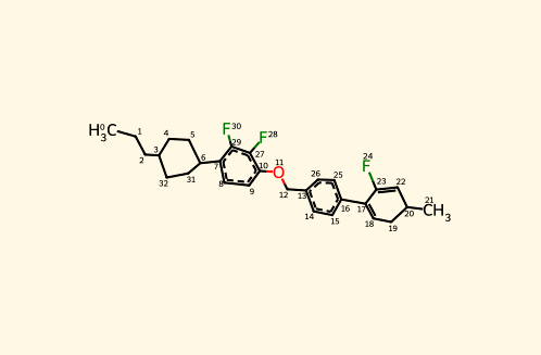 CCCC1CCC(c2ccc(OCc3ccc(C4=CCC(C)C=C4F)cc3)c(F)c2F)CC1